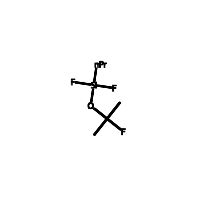 CCC[Si](F)(F)OC(C)(C)F